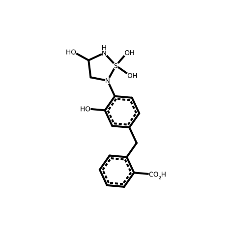 O=C(O)c1ccccc1Cc1ccc(N2CC(O)NS2(O)O)c(O)c1